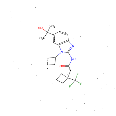 CC(C)(O)c1ccc2nc(NC(=O)CC3(C(F)(F)F)CCC3)n(C3CCC3)c2c1